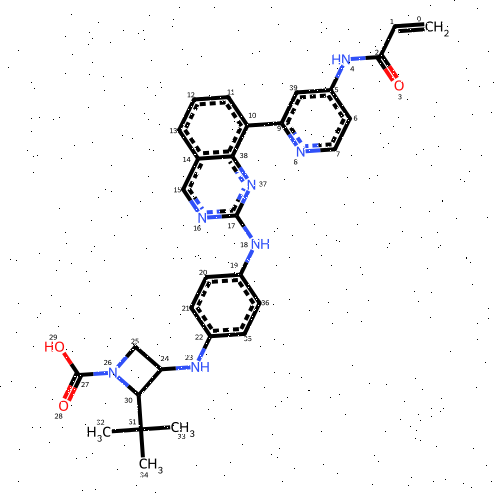 C=CC(=O)Nc1ccnc(-c2cccc3cnc(Nc4ccc(NC5CN(C(=O)O)C5C(C)(C)C)cc4)nc23)c1